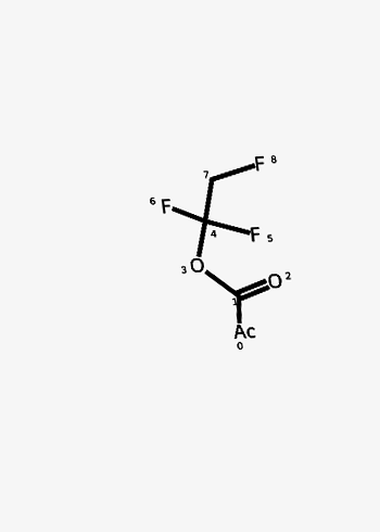 CC(=O)C(=O)OC(F)(F)CF